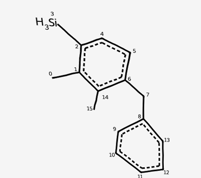 Cc1c([SiH3])ccc(Cc2ccccc2)c1C